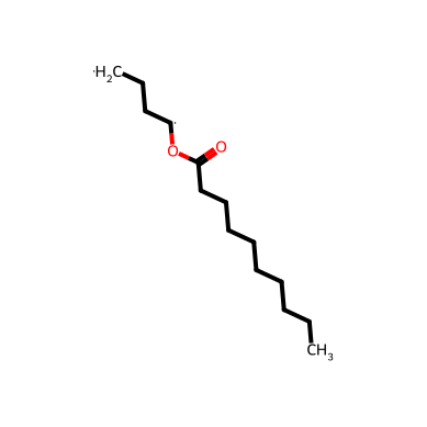 [CH2]CC[CH]OC(=O)CCCCCCCCC